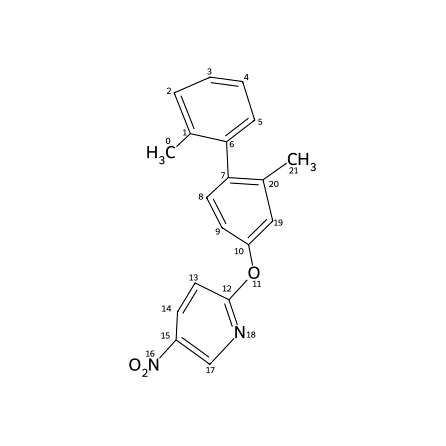 Cc1ccccc1-c1ccc(Oc2ccc([N+](=O)[O-])cn2)cc1C